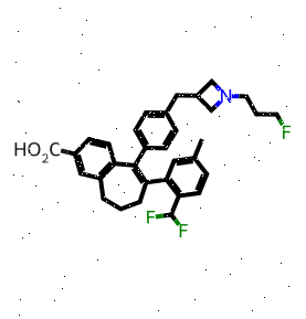 Cc1ccc(C(F)F)c(C2=C(c3ccc(CC4CN(CCCF)C4)cc3)c3ccc(C(=O)O)cc3CCC2)c1